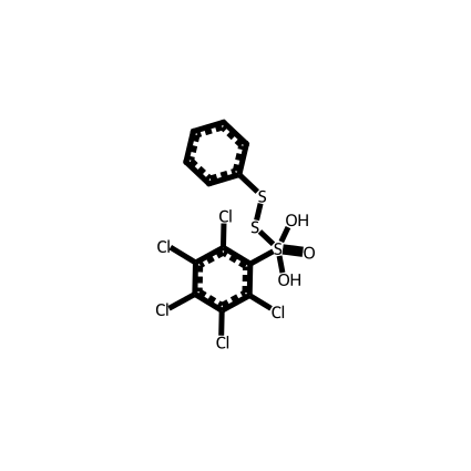 O=S(O)(O)(SSc1ccccc1)c1c(Cl)c(Cl)c(Cl)c(Cl)c1Cl